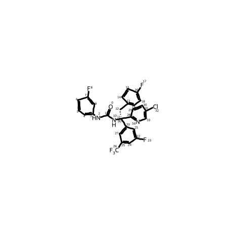 O=C(Nc1cccc(F)c1)N[C@](Cc1ccc(F)cc1)(c1cc(F)cc(C(F)(F)F)c1)c1ccc(Cl)cn1